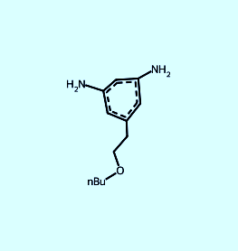 CCCCOCCc1cc(N)cc(N)c1